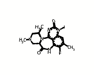 Cc1cc2c3c(nc(=O)n2I)N2C(C)CN(C)CC2C(=O)Nc3c1F